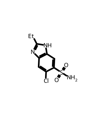 CCc1nc2cc(Cl)c(S(N)(=O)=O)cc2[nH]1